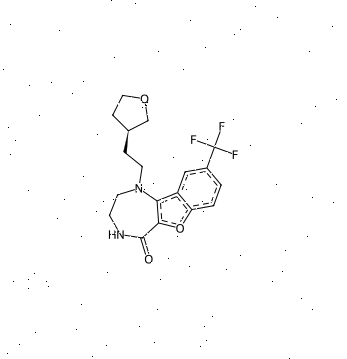 O=C1NCCN(CC[C@H]2CCOC2)c2c1oc1ccc(C(F)(F)F)cc21